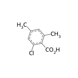 Cc1cc(C)c(C(=O)O)c(Cl)c1